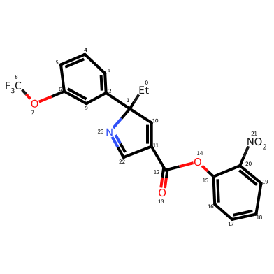 CCC1(c2cccc(OC(F)(F)F)c2)C=C(C(=O)Oc2ccccc2[N+](=O)[O-])C=N1